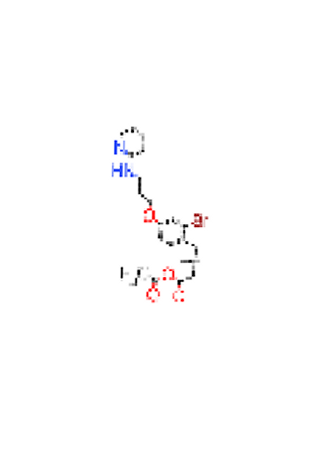 CC(C)(CC(=O)OC(=O)C(F)(F)F)Cc1ccc(OCCCNc2ccccn2)cc1Br